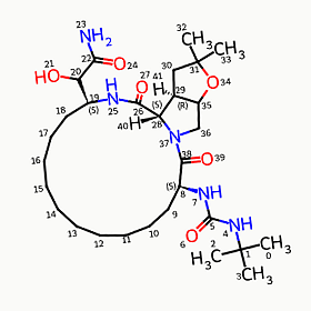 CC(C)(C)NC(=O)N[C@H]1CCCCCCCCCC[C@@H](C(O)C(N)=O)NC(=O)[C@@H]2[C@H]3CC(C)(C)OC3CN2C1=O